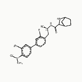 CC(C)c1cc(-c2ccc(C[C@@H](C#N)NC(=O)C3NC4CCC3C4)c(F)c2)ccc1[S+](C)[O-]